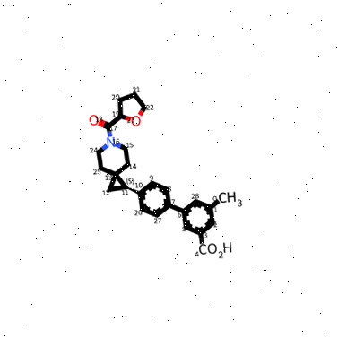 Cc1cc(C(=O)O)cc(-c2ccc([C@H]3CC34CCN(C(=O)C3CCCO3)CC4)cc2)c1